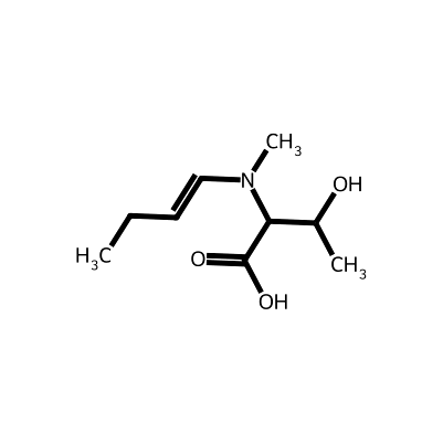 CCC=CN(C)C(C(=O)O)C(C)O